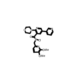 COc1ccc(CN(Cl)C(=O)c2cc(-c3cccnc3)cnc2N2CCOCC2)nc1OC